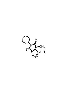 CN(C)c1nc(=O)n(C2CCCCCC2)c(=O)n1C